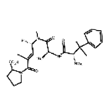 CN[C@H](C(=O)N[C@H](C(=O)N(C)[C@H](/C=C(\C)C(=O)N1CCC[C@H]1C(=O)O)C(C)C)C(C)(C)C)C(C)(C)c1ccccc1